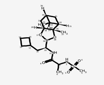 CC(NS(C)(=O)=O)C(=O)N[C@@H](CC1CCC1)B1O[C@@H]2C[C@@H]3C[C@@H](C3(C)C)[C@]2(C)O1